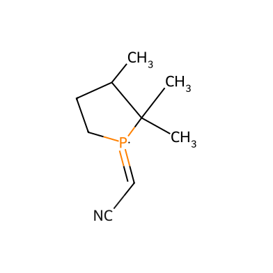 CC1CC[P](=CC#N)C1(C)C